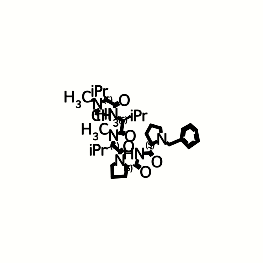 CC(C)[C@H](NC(=O)[C@H](C(C)C)N(C)C)C(=O)N(C)[C@H](C(=O)N1CCC[C@H]1C(=O)NC(=O)[C@@H]1CCCN1Cc1ccccc1)C(C)C